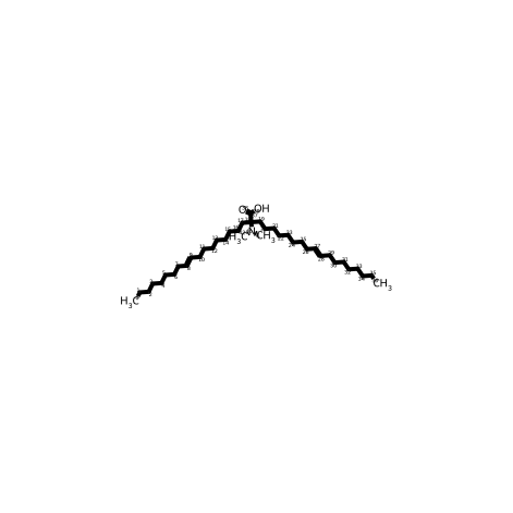 CCCCCCCCC=CCCCCCCCCC(CCCCCCCCC=CCCCCCCCC)(C(=O)O)N(C)C